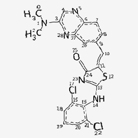 CN(C)c1cnc2ccc(C=C3SC(Nc4c(Cl)cccc4Cl)=NC3=O)cc2n1